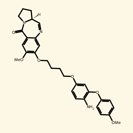 COc1ccc(Oc2cc(OCCCCOc3cc4c(cc3OC)C(=O)N3CCC[C@H]3C=N4)ccc2N)cc1